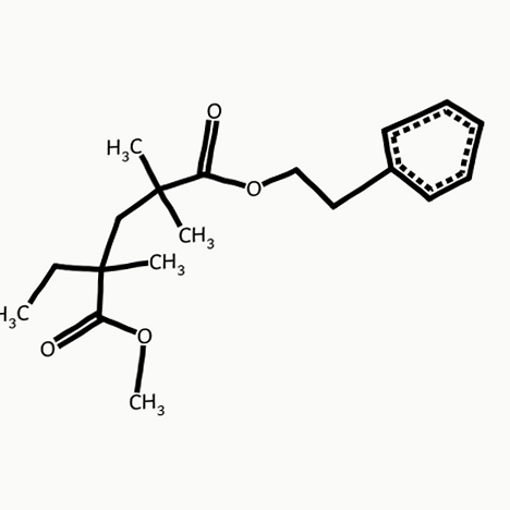 CCC(C)(CC(C)(C)C(=O)OCCc1ccccc1)C(=O)OC